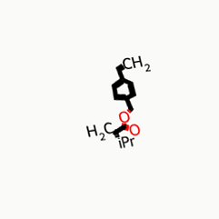 C=Cc1ccc(COC(=O)C(=C)C(C)C)cc1